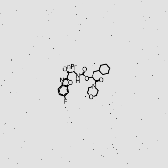 CCC[C@H](NC(=O)O[C@@H](CC1CCCCC1)C(=O)N1CCOCC1)C(=O)c1nc2ccc(F)cc2o1